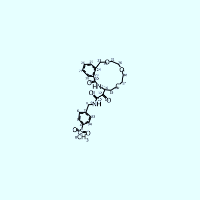 CS(=O)(=O)c1ccc(CNC(=O)C(=O)C2CCCCOCCOCc3ccccc3C(=O)N2)cc1